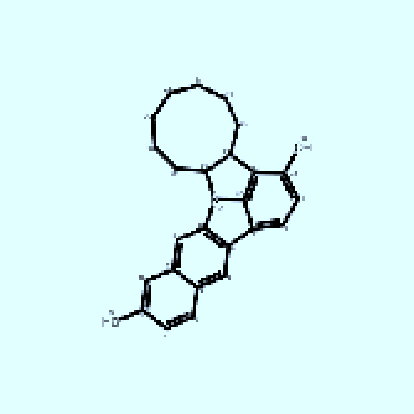 Oc1ccc2cc3c4ccc(O)c5c4n(c3cc2c1)C1CCCCCCCC51